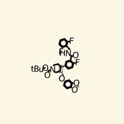 CC(C)(C)OC(=O)N1CC[C@@H](c2ccc(F)c(C(=O)NCc3c(F)cccc3F)c2)[C@H](COc2ccc3c(c2)OCO3)C1